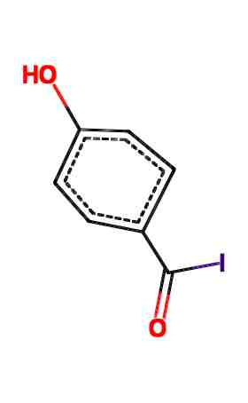 O=C(I)c1ccc(O)cc1